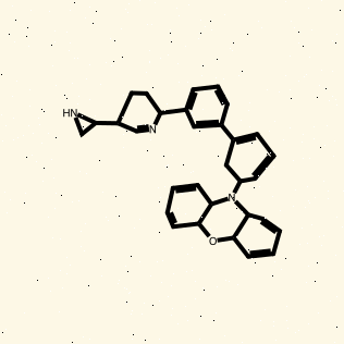 C1=CC2OC3C=CC=CC3N(C3C=CC=C(c4cccc(C5CCC(C6CN6)C=N5)c4)C3)C2C=C1